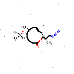 C[C@H]1C/C=C/C[C@H]([C@@H](C)CN=[N+]=[N-])OC(=O)CCC[C@@H]1O[Si](C)(C)C(C)(C)C